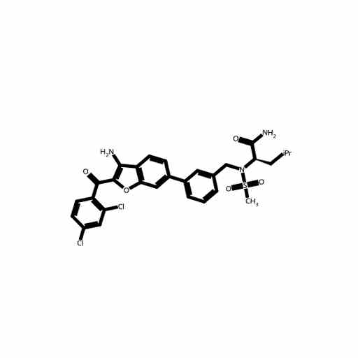 CC(C)C[C@H](C(N)=O)N(Cc1cccc(-c2ccc3c(N)c(C(=O)c4ccc(Cl)cc4Cl)oc3c2)c1)S(C)(=O)=O